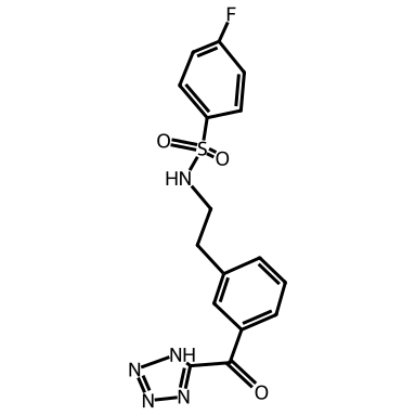 O=C(c1cccc(CCNS(=O)(=O)c2ccc(F)cc2)c1)c1nnn[nH]1